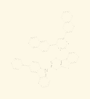 c1ccc(-c2ccc3c(c2)c2ccccc2n3-c2ccc3c(c2)oc2cccc(-c4nc(-c5ccc6ccccc6c5)cc(-c5ccc6ccccc6c5)n4)c23)cc1